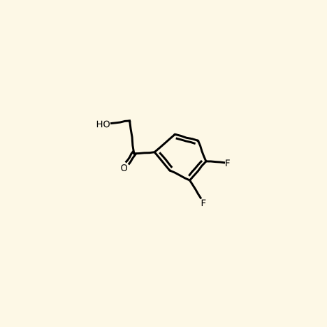 O=C(CO)c1ccc(F)c(F)c1